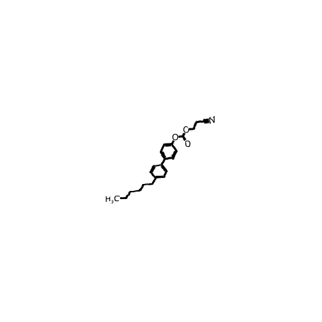 CCCCCCc1ccc(-c2ccc(OC(=O)OCCC#N)cc2)cc1